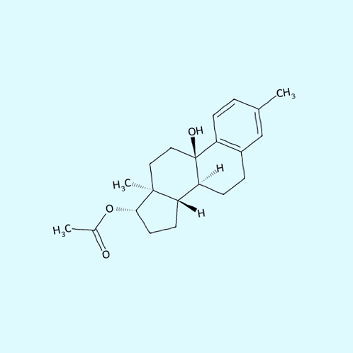 CC(=O)O[C@H]1CC[C@H]2[C@@H]3CCc4cc(C)ccc4[C@@]3(O)CC[C@]12C